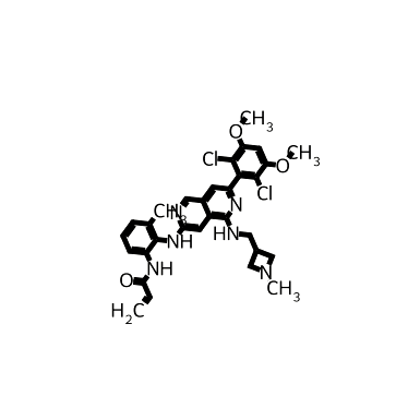 C=CC(=O)Nc1cccc(C)c1Nc1cc2c(NCC3CN(C)C3)nc(-c3c(Cl)c(OC)cc(OC)c3Cl)cc2cn1